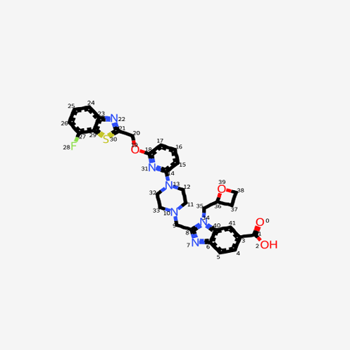 O=C(O)c1ccc2nc(CN3CCN(c4cccc(OCc5nc6cccc(F)c6s5)n4)CC3)n(CC3CCO3)c2c1